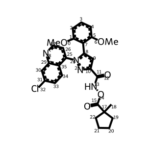 COc1cccc(OC)c1-c1cc(C(=O)NOC(=O)C2(C)CCCC2)nn1-c1ccnc2cc(Cl)ccc12